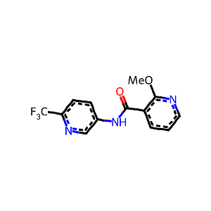 COc1ncccc1C(=O)Nc1ccc(C(F)(F)F)nc1